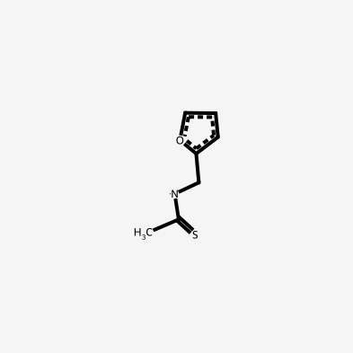 CC(=S)[N]Cc1ccco1